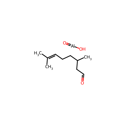 CC(C)=CCCC(C)CC=O.[O]=[Al][OH]